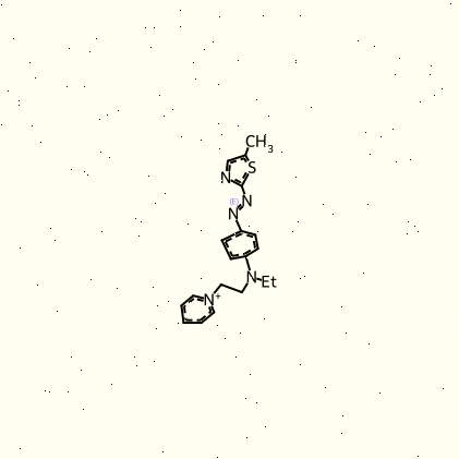 CCN(CC[n+]1ccccc1)c1ccc(/N=N/c2ncc(C)s2)cc1